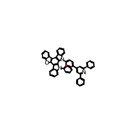 c1ccc(-c2cc(-c3ccc(-n4c5ccccc5c5c6c7ccccc7oc6c6c7ccccc7n(-c7ccccc7)c6c54)cc3)cc(-c3ccccc3)n2)cc1